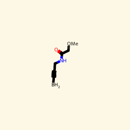 BC#CCNC(=O)COC